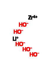 [Li+].[OH-].[OH-].[OH-].[OH-].[OH-].[Zr+4]